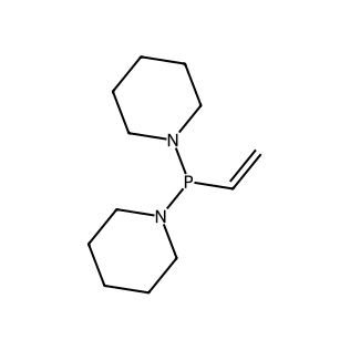 C=CP(N1CCCCC1)N1CCCCC1